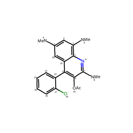 CNc1cc(NC)c2nc(NC)c(OC(C)=O)c(-c3ccccc3Cl)c2c1